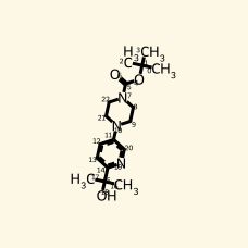 CC(C)(C)OC(=O)N1CCN(c2ccc(C(C)(C)O)nc2)CC1